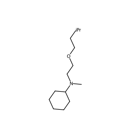 CC(C)CCOCCN(C)C1CCCCC1